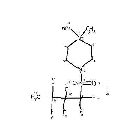 CCC[N+]1(C)CCN(S(=O)(=O)C(F)(F)C(F)(F)C(F)(F)C(F)(F)F)CC1.[I-]